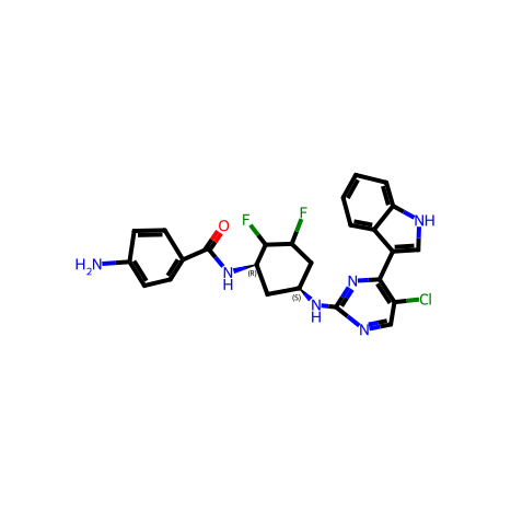 Nc1ccc(C(=O)N[C@@H]2C[C@H](Nc3ncc(Cl)c(-c4c[nH]c5ccccc45)n3)CC(F)C2F)cc1